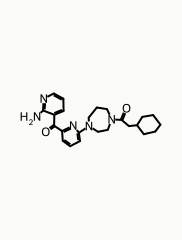 Nc1ncccc1C(=O)c1cccc(N2CCCN(C(=O)CC3CCCCC3)CC2)n1